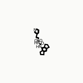 O=C(Nc1c2c(cc3c1CCC3)CCC2)NS(=O)(=O)/C=C/c1cccnc1